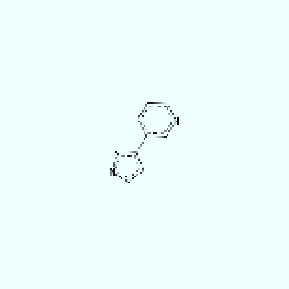 c1cncc(-c2csnn2)c1